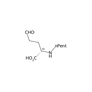 CCCCCN[C@@H](CC[C]=O)C(=O)O